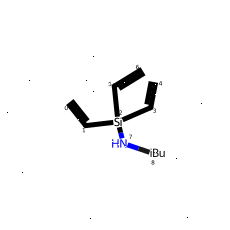 C=C[Si](C=C)(C=C)NC(C)CC